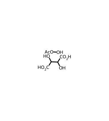 CC(=O)OO.O=C(O)C(O)C(O)C(=O)O